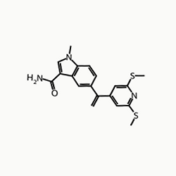 C=C(c1cc(SC)nc(SC)c1)c1ccc2c(c1)c(C(N)=O)cn2C